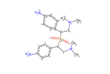 CN(C)CC(c1ccc(N)cc1)S(=O)(=O)C(CN(C)C)c1ccc(N)cc1